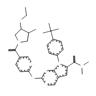 CCNC1CN(C(=O)c2ccc(Nc3ncc4cc(C(=O)N(C)C)n(-c5ccc(C(C)(C)C)cc5)c4n3)nc2)CC1C